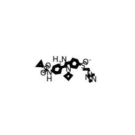 Nc1c(-c2ccc(NS(=O)(=O)C3CC3)cc2)n(C2CCC2)c2cc([S+]([O-])CCn3cncn3)ccc12